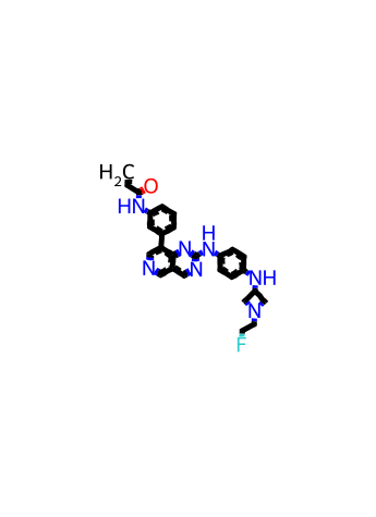 C=CC(=O)Nc1cccc(-c2cncc3cnc(Nc4ccc(NC5CN(CCF)C5)cc4)nc23)c1